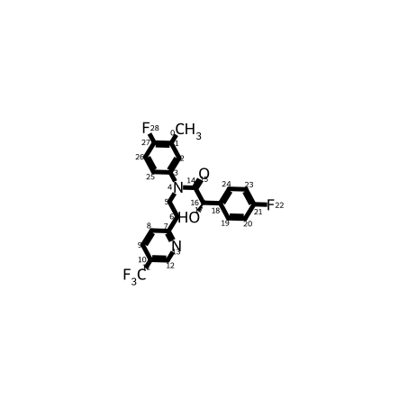 Cc1cc(N(CCc2ccc(C(F)(F)F)cn2)C(=O)[C@H](O)c2ccc(F)cc2)ccc1F